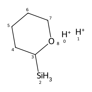 [H+].[H+].[SiH3]C1CCCCO1